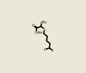 CCCCC(SCCCCC(F)F)C(=O)OC